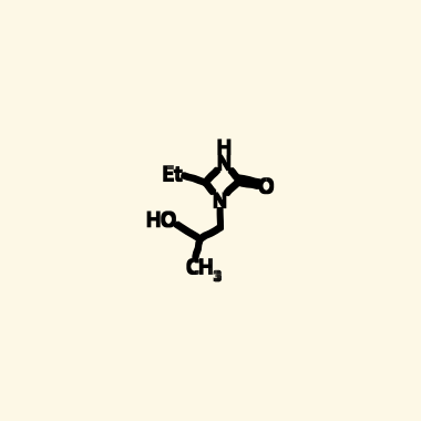 CCC1NC(=O)N1CC(C)O